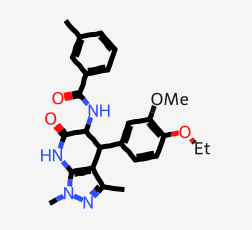 CCOc1ccc(C2c3c(C)nn(C)c3NC(=O)C2NC(=O)c2cccc(C)c2)cc1OC